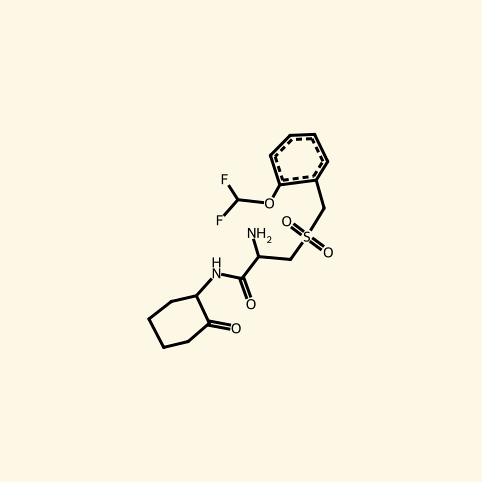 NC(CS(=O)(=O)Cc1ccccc1OC(F)F)C(=O)NC1CCCCC1=O